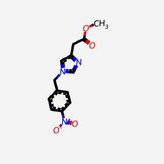 COC(=O)Cc1cn(Cc2ccc([N+](=O)[O-])cc2)cn1